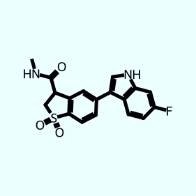 CNC(=O)C1CS(=O)(=O)c2ccc(-c3c[nH]c4cc(F)ccc34)cc21